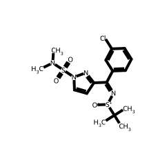 CN(C)S(=O)(=O)n1ccc(C(=N[S+]([O-])C(C)(C)C)c2cccc(Cl)c2)n1